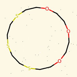 C1COCCSCCSCCSCCOCCO1